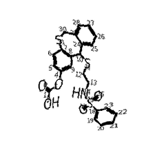 O=C(O)Oc1ccc2c(c1)C(SCCNS(=O)(=O)c1ccccc1)c1ccccc1CS2